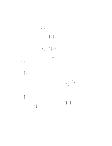 CC1(C)CCc2c(-c3cc4cc(C(=O)N5CCN(CC6CCN(C(=O)c7ccc(F)c(N8CCC(=O)NON8)c7)CC6)CC5)ccc4[nH]3)n[nH]c2C1